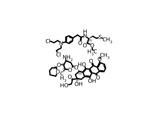 CCOC(=O)[C@H](CCSC)NC(=O)Cc1ccc(N(CCCl)CCCl)cc1.COc1cccc2c1C(=O)c1c(O)c3c(c(O)c1C2=O)C[C@@](O)(C(=O)CO)C[C@@H]3O[C@H]1C[C@H](N)[C@H](O[C@@H]2CCCCO2)[C@H](C)O1